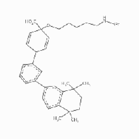 CC(C)NCCCCCOC1(C(=O)O)C=CC(c2cccc(-c3ccc4c(c3)C(C)(C)CCC4(C)C)c2)C=C1